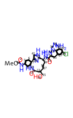 COC(=O)Nc1ccc2c(c1)NC(=O)CC(CO)/C=C/C[C@H](NC(=O)/C=C/c1cc(Cl)ccc1N(N)/C=N\N)c1nc-2c[nH]1